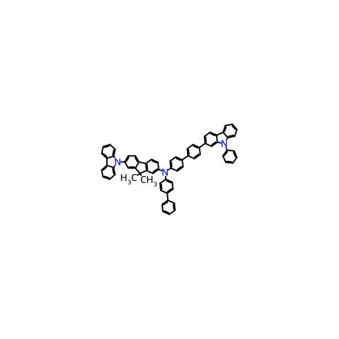 CC1(C)c2cc(N(c3ccc(-c4ccccc4)cc3)c3ccc(-c4ccc(-c5ccc6c7ccccc7n(-c7ccccc7)c6c5)cc4)cc3)ccc2-c2ccc(-n3c4ccccc4c4ccccc43)cc21